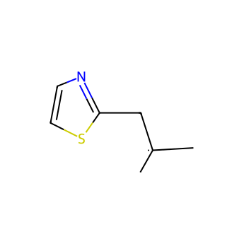 C[C](C)Cc1nccs1